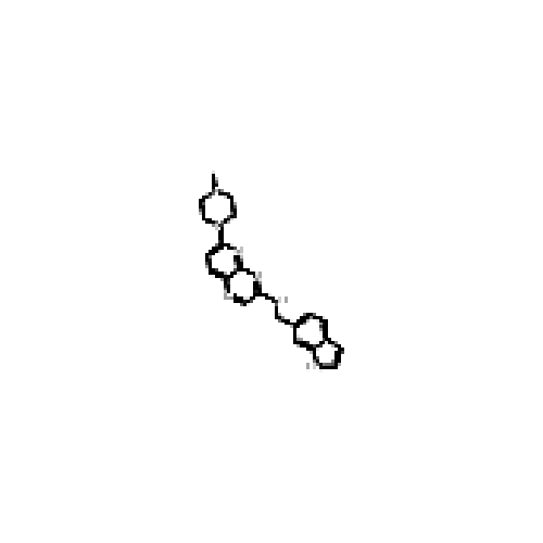 CN1CCN(c2ccc3ncc(NCc4ccc5cc[nH]c5c4)nc3n2)CC1